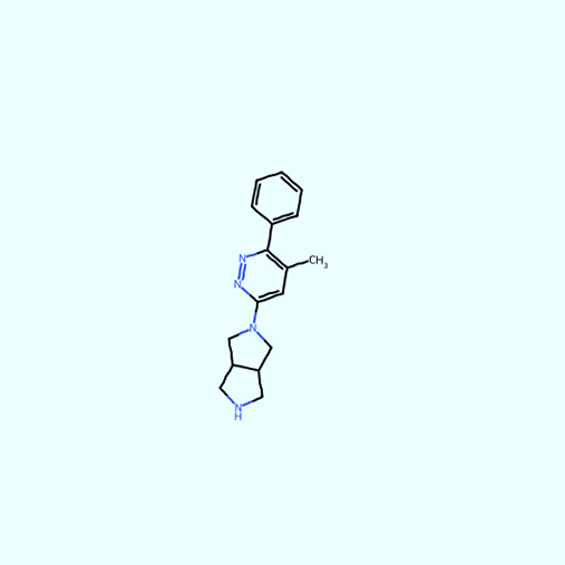 Cc1cc(N2CC3CNCC3C2)nnc1-c1ccccc1